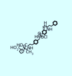 C[C@H](N[C@@H](CCc1ccc(CNS(=O)(=O)c2cc3c(cc2Cl)NC(CCc2ccccc2)NS3)cc1)C(=O)O)C(=O)N1CCC[C@H]1C(=O)O